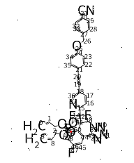 C=CCOP(=O)(OCC=C)OC1(C(F)(F)c2ccc(C#Cc3ccc(OCc4ccc(C#N)cc4)cc3)cn2)Cn2nnnc2-c2cc(F)ccc21